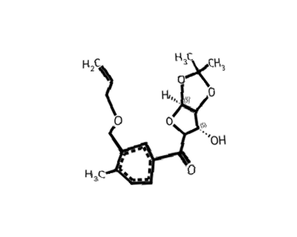 C=CCOCc1cc(C(=O)C2O[C@H]3OC(C)(C)OC3[C@@H]2O)ccc1C